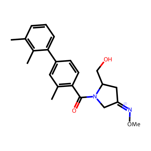 CO/N=C1/CC(CO)N(C(=O)c2ccc(-c3cccc(C)c3C)cc2C)C1